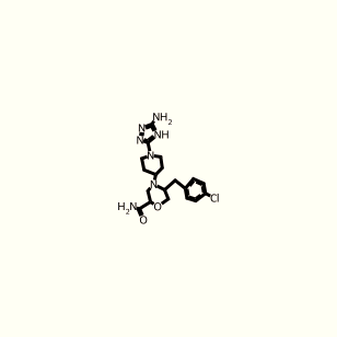 NC(=O)C1CN(C2CCN(c3nnc(N)[nH]3)CC2)C(Cc2ccc(Cl)cc2)CO1